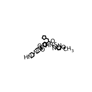 COc1ccc2nc(NC(=O)C(CC3CCCC3)c3ccc(S(=O)(=O)N4CCN(C5CCNCC5)CC4)cc3)sc2n1